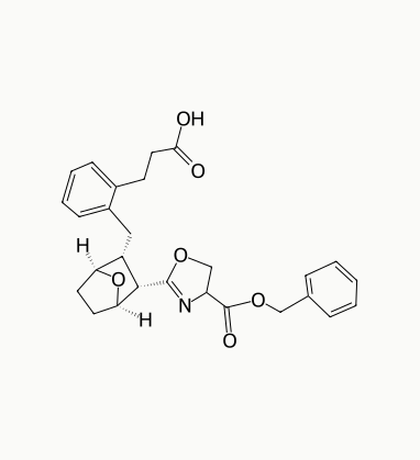 O=C(O)CCc1ccccc1C[C@@H]1[C@H](C2=NC(C(=O)OCc3ccccc3)CO2)[C@H]2CC[C@@H]1O2